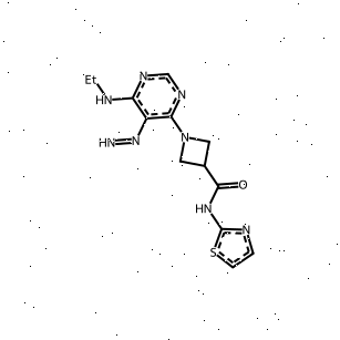 CCNc1ncnc(N2CC(C(=O)Nc3nccs3)C2)c1N=N